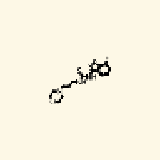 Fc1cccc2c(NC(=S)NCCCN3CCOCC3)noc12